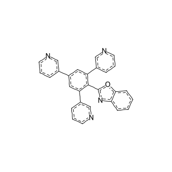 c1cncc(-c2cc(-c3cccnc3)c(-c3nc4ccccc4o3)c(-c3cccnc3)c2)c1